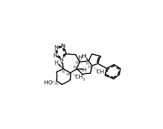 C[C@]12CC[C@H](O)C[C@@H]1n1nnnc1C[C@@H]1[C@@H]2CC[C@]2(C)C(c3ccccc3)=CC[C@@H]12